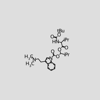 CC(C)C(OC(=O)C(NC(=O)OC(C)(C)C)C(C)C)OC(=O)n1cc(CCN(C)C)c2ccccc21